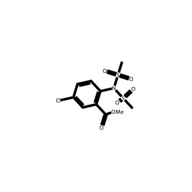 COC(=O)c1cc(Cl)ccc1N(S(C)(=O)=O)S(C)(=O)=O